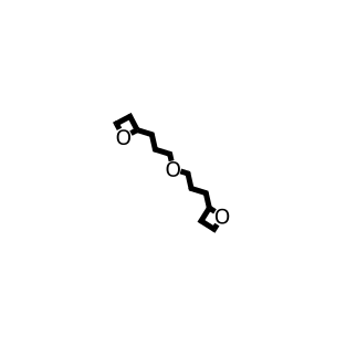 C(COCCCC1CCO1)CC1CCO1